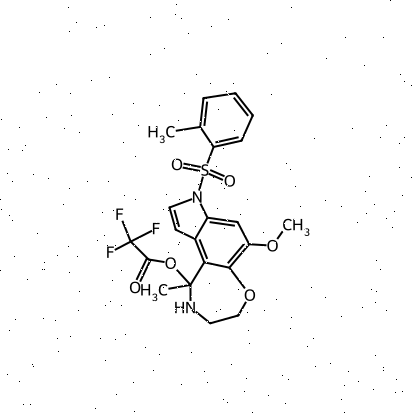 COc1cc2c(ccn2S(=O)(=O)c2ccccc2C)c2c1OCCNC2(C)OC(=O)C(F)(F)F